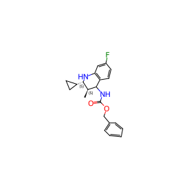 C[C@@H]1C(NC(=O)OCc2ccccc2)c2ccc(F)cc2N[C@H]1C1CC1